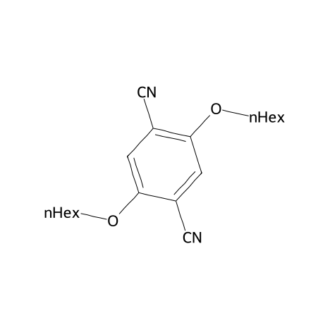 CCCCCCOc1cc(C#N)c(OCCCCCC)cc1C#N